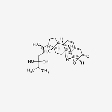 CC(C)C(O)(O)CC[C@@H](C)[C@H]1CC[C@H]2[C@@H]3C=CC4=CC(=O)[C@@H]5O[C@@H]5[C@]4(C)[C@H]3CC[C@]12C